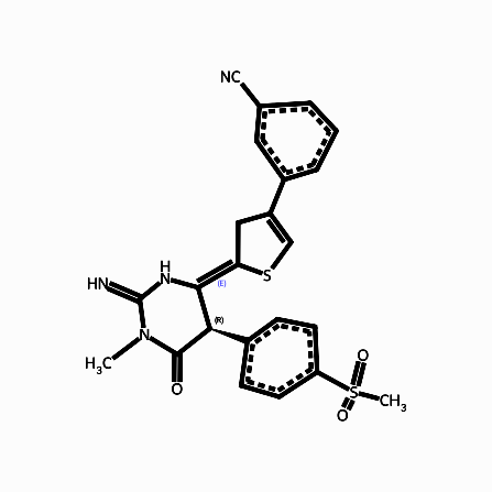 CN1C(=N)N/C(=C2\CC(c3cccc(C#N)c3)=CS2)[C@@H](c2ccc(S(C)(=O)=O)cc2)C1=O